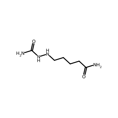 NC(=O)CCCCNNC(N)=O